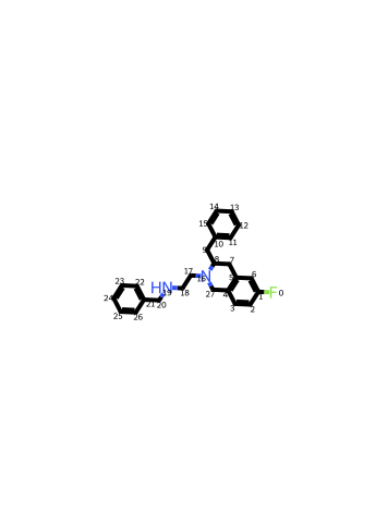 Fc1ccc2c(c1)CC(Cc1ccccc1)N(CCNCc1ccccc1)C2